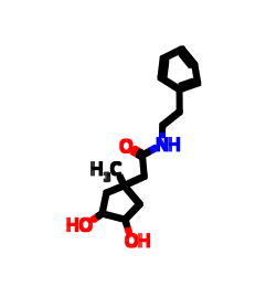 CC1(CC(=O)NCCc2ccccc2)CC(O)C(O)C1